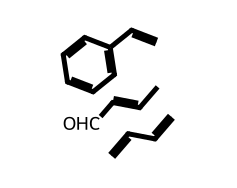 C=CC=C.C=Cc1ccccc1.CC=CC=O